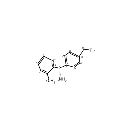 Cc1cccnc1[C@@H](N)c1ccc(CF)cc1